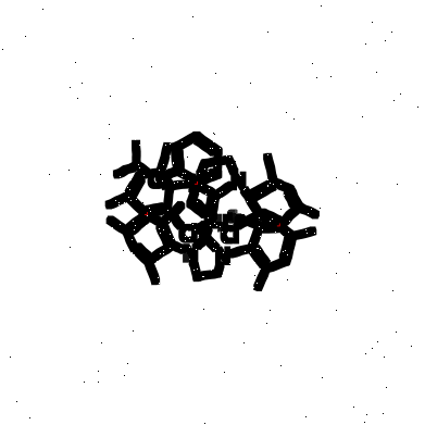 Cc1cc(C)c(N2CCN(c3c(C)cc(C)cc3C)[C]2=[Ru-6]([Cl])([Cl])(=[CH]c2ccccc2OC(C)C)=[C]2N(c3c(C)cc(C)cc3C)CCN2c2c(C)cc(C)cc2C)c(C)c1